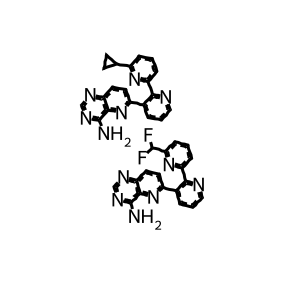 Nc1ncnc2ccc(-c3cccnc3-c3cccc(C(F)F)n3)nc12.Nc1ncnc2ccc(-c3cccnc3-c3cccc(C4CC4)n3)nc12